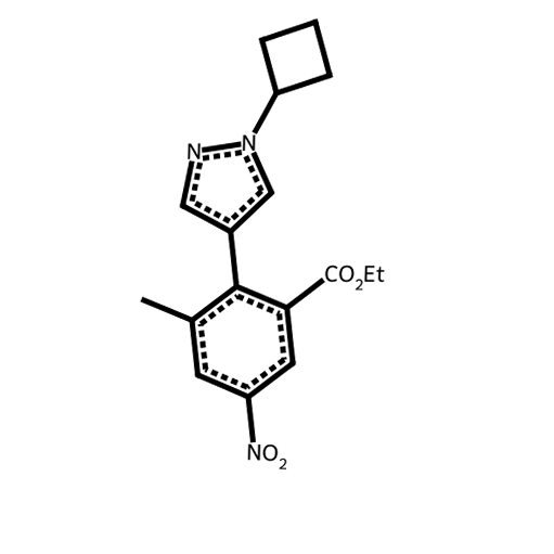 CCOC(=O)c1cc([N+](=O)[O-])cc(C)c1-c1cnn(C2CCC2)c1